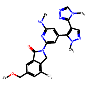 CCNc1cc(-c2c(-c3nncn3C)cnn2C)cc(N2Cc3c(cc(COC(C)C)cc3C(F)(F)F)C2=O)n1